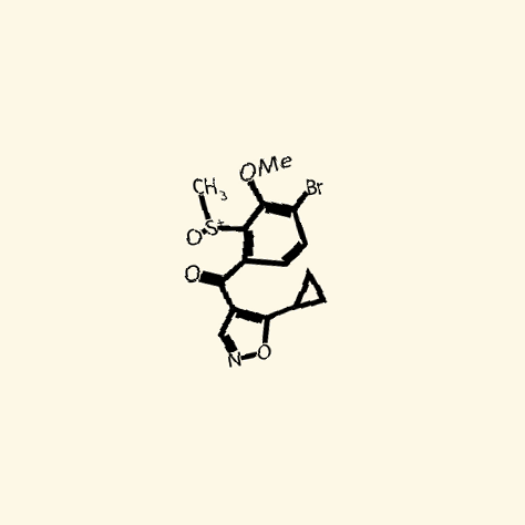 COc1c(Br)ccc(C(=O)c2cnoc2C2CC2)c1[S+](C)[O-]